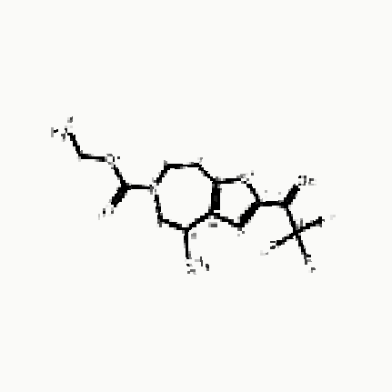 CCOC(=O)N1CCc2sc(C(=O)C(F)(F)F)cc2C(C)C1